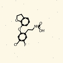 NCCc1cc(F)c(Cl)cc1Oc1cccc2c1OCC2.O=CO